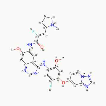 COc1cc2ncnc(Nc3cc(F)c(Oc4ccn5ncnc5c4)cc3OC)c2cc1NC(=O)/C(F)=C/C1CCCN1C